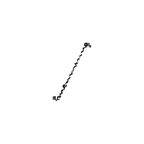 CCCCCCCCCCCCCCCCCCCCCCOCCCCCC